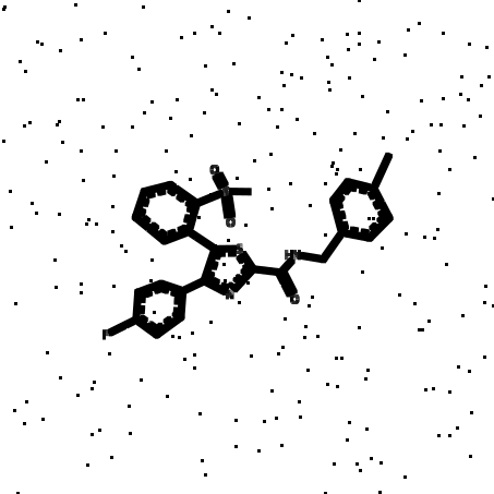 Cc1ccc(CNC(=O)c2nc(-c3ccc(F)cc3)c(-c3ccccc3S(C)(=O)=O)s2)cc1